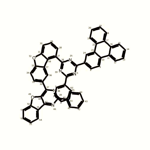 c1ccc(-c2nc(-c3ccc4c5ccccc5c5ccccc5c4c3)nc(-c3cccc4oc5ccc(-c6nc(-c7ccccc7)nc7c6oc6ccccc67)cc5c34)n2)cc1